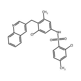 Cc1ccc(S(=O)(=O)Nc2cc(C)c(Cc3cnc4ccccc4c3)c(Cl)c2)c(Cl)c1